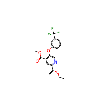 C=C(OCC)c1cc(C(=O)OC)c(Oc2cccc(C(F)(F)F)c2)cn1